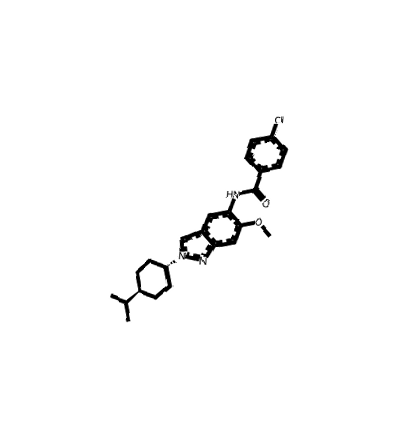 COc1cc2nn([C@H]3CC[C@H](C(C)C)CC3)cc2cc1NC(=O)c1ccc(Cl)cc1